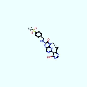 CCn1c(=O)c(NCc2ccc(S(C)(=O)=O)cc2)nc2cnc(-c3c(O)ncnc3C3CC3)nc21